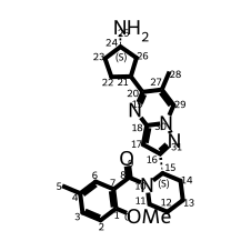 COc1ccc(C)cc1C(=O)N1CCCC[C@H]1c1cc2nc(C3CC[C@H](N)C3)c(C)cn2n1